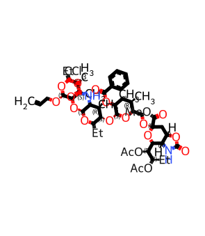 C=CCO[C@H]1OC(CC)[C@@H](C)[C@H](C)C1O[C@@H]1OC(CC)[C@@H](O[C@@H]2OC(CO[C@]3(C(=O)OC)C[C@H]4OC(=O)N[C@H]4C([C@H](OC(C)=O)[C@@H](CC)OC(C)=O)O3)[C@H](C)[C@H](C)C2OC(=O)c2ccccc2)[C@H](C)C1NC(=O)OCC(Cl)(Cl)Cl